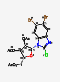 CC(=O)OC[C@H]1O[C@@H](n2c(Cl)nc3cc(Br)c(Br)cc32)[C@H](OC(C)=O)[C@@H]1OC(C)=O